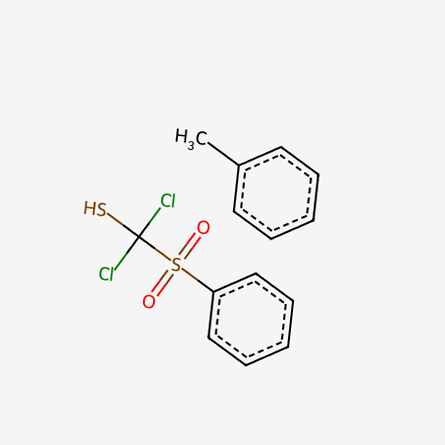 Cc1ccccc1.O=S(=O)(c1ccccc1)C(S)(Cl)Cl